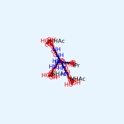 CC(=O)NC1C(OCCOCCNC(=O)CCCC(=O)NCCCC[C@H](NC(=O)CCCC(=O)NCCOCCOC2OC(CO)C(O)C(O)C2NC(C)=O)C(=O)N[C@@H](CCCCNC(=O)CCCC(=O)NCCOCCOC2OC(CO)C(O)C(O)C2NC(C)=O)C(=O)NCCCCCCOP(=O)(O)OC(C)C)OC(CO)C(O)C1O